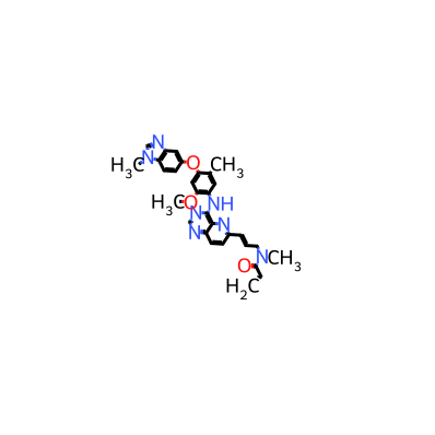 C=CC(=O)N(C)CC=Cc1ccc2ncnc(Nc3cc(C)c(Oc4ccc5c(c4)ncn5C)cc3OC)c2n1